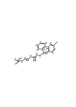 Cc1ccc(OC(CCNCOCC[Si](C)(C)C)c2ccccc2)cc1